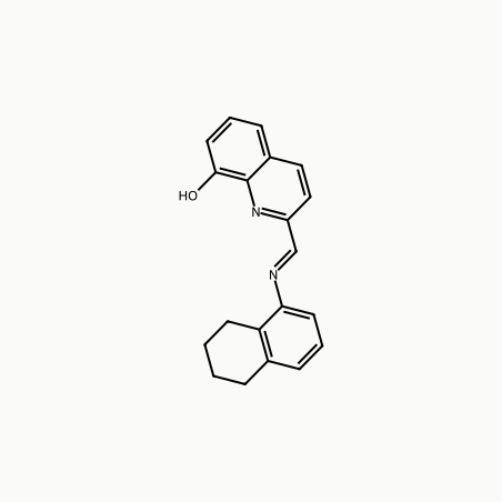 Oc1cccc2ccc(C=Nc3cccc4c3CCCC4)nc12